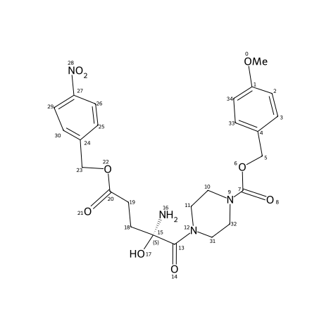 COc1ccc(COC(=O)N2CCN(C(=O)[C@@](N)(O)CCC(=O)OCc3ccc([N+](=O)[O-])cc3)CC2)cc1